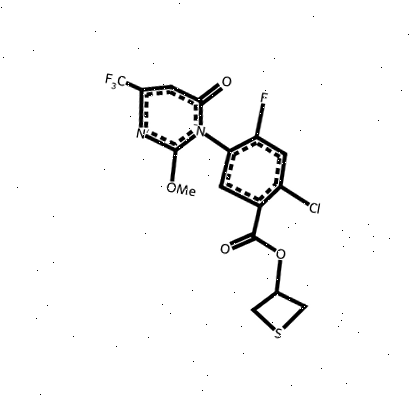 COc1nc(C(F)(F)F)cc(=O)n1-c1cc(C(=O)OC2CSC2)c(Cl)cc1F